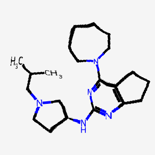 CC(C)CN1CC[C@H](Nc2nc3c(c(N4CCCCCC4)n2)CCC3)C1